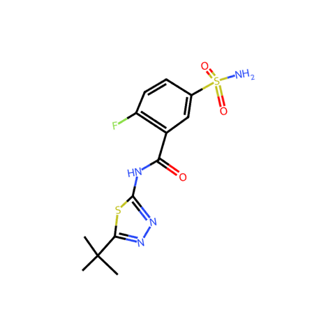 CC(C)(C)c1nnc(NC(=O)c2cc(S(N)(=O)=O)ccc2F)s1